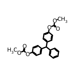 COC(=O)Oc1ccc(C(c2ccccc2)c2ccc(OC(=O)OC)cc2)cc1